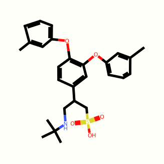 Cc1cccc(Oc2ccc(C(CNC(C)(C)C)CS(=O)(=O)O)cc2Oc2cccc(C)c2)c1